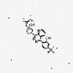 CN(C)C[C@]1(O)CCN(c2nnc(-c3ccc(C(F)(F)F)cc3O)c3cccnc23)C1